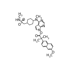 CNS(=O)(=O)CC1CCC(N(C)c2ncnc3c2ccn3OC(=O)C(C)(C)c2ccc3cc(OC)ccc3c2)CC1